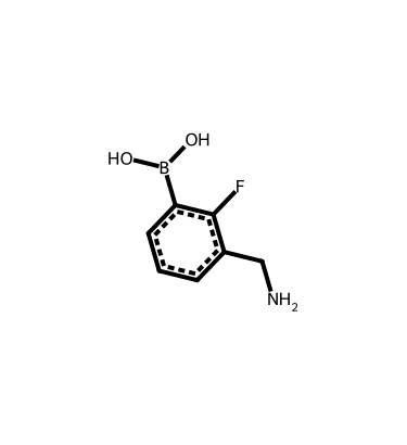 NCc1cccc(B(O)O)c1F